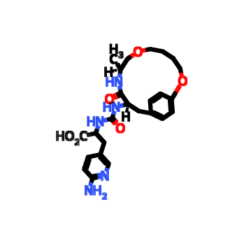 C[C@H]1COCCCCOc2ccc(cc2)C[C@@H](NC(=O)NC(Cc2ccc(N)nc2)C(=O)O)C(=O)N1